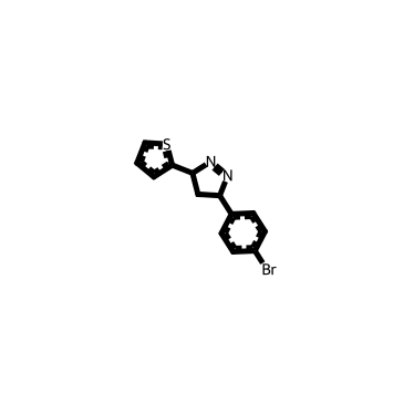 Brc1ccc(C2CC(c3cccs3)N=N2)cc1